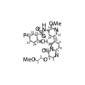 COCCOc1cnc2ccc(-c3cnc(OC)c(NS(=O)(=O)c4cc(F)ccc4C)c3)cn2c1=O